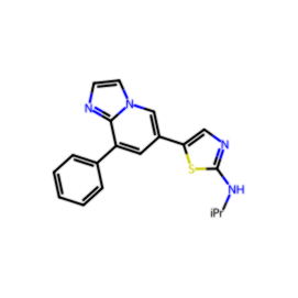 CC(C)Nc1ncc(-c2cc(-c3ccccc3)c3nccn3c2)s1